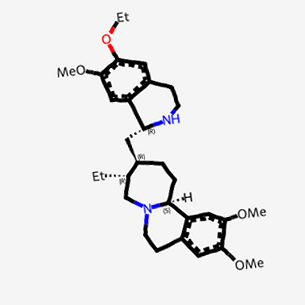 CCOc1cc2c(cc1OC)[C@@H](C[C@H]1CC[C@H]3c4cc(OC)c(OC)cc4CCN3C[C@@H]1CC)NCC2